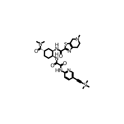 CN1CCc2nc(C(=O)N[C@@H]3C[C@@H](C(=O)N(C)C)CC[C@@H]3NC(=O)C(=O)Nc3ccc(C#C[Si](C)(C)C)cn3)sc2C1